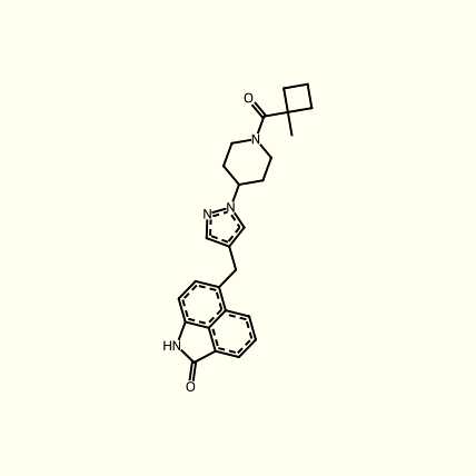 CC1(C(=O)N2CCC(n3cc(Cc4ccc5c6c(cccc46)C(=O)N5)cn3)CC2)CCC1